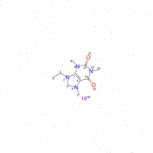 CCN1CN(C)c2c1n(C)c(=O)n(C)c2=O.I